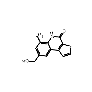 Cc1cc(CO)cc2c1[nH]c(=O)c1sccc12